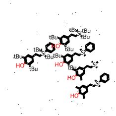 CC(C)(C)c1cc(CC[Si](C(C)(C)C)(C(C)(C)C)C(C)(C)C)cc(C(C)(C)C)c1O.CC(C)(C)c1cc(CC[Si](C)(C)c2ccccc2)cc(C(C)(C)C)c1O.CC(C)(C)c1cc(CC[Si](c2ccccc2)(C(C)(C)C)C(C)(C)C)cc(C(C)(C)C)c1O.Cc1cc(CC[Si](C)(C)C)cc(C)c1O.Cc1cc(CC[Si](C)(C)c2ccccc2)cc(C)c1O